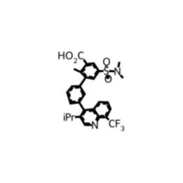 Cc1c(C(=O)O)cc(S(=O)(=O)N(C)C)cc1-c1cccc(-c2c(C(C)C)cnc3c(C(F)(F)F)cccc23)c1